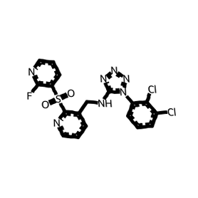 O=S(=O)(c1cccnc1F)c1ncccc1CNc1nnnn1-c1cccc(Cl)c1Cl